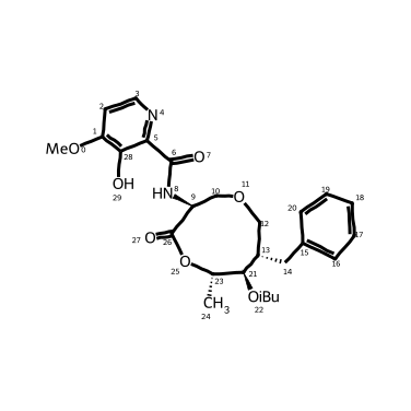 COc1ccnc(C(=O)N[C@H]2COC[C@H](Cc3ccccc3)[C@@H](OCC(C)C)[C@H](C)OC2=O)c1O